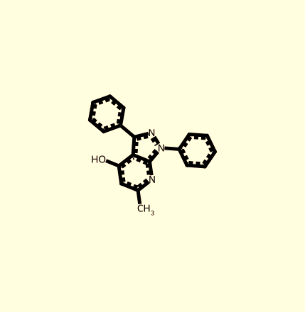 Cc1cc(O)c2c(-c3ccccc3)nn(-c3ccccc3)c2n1